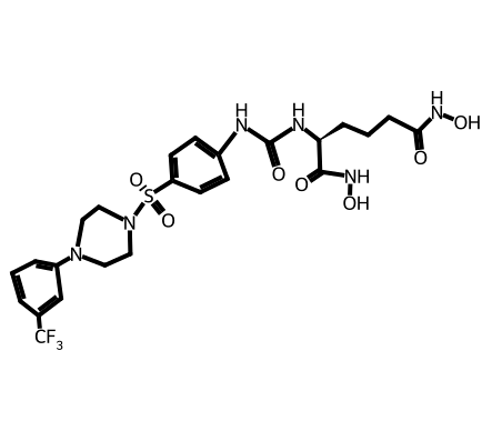 O=C(CCC[C@H](NC(=O)Nc1ccc(S(=O)(=O)N2CCN(c3cccc(C(F)(F)F)c3)CC2)cc1)C(=O)NO)NO